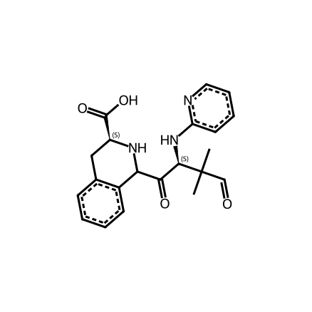 CC(C)(C=O)[C@H](Nc1ccccn1)C(=O)C1N[C@H](C(=O)O)Cc2ccccc21